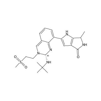 CC1NC(=O)c2cc(-c3cccc4c3=N[C@H](NC(C)(C)C)N(CCS(C)(=O)=O)C=4)[nH]c21